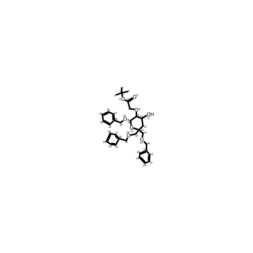 CC(C)(C)OC(=O)COC1C(O)CC(COCc2ccccc2)(COCc2ccccc2)O[C@@H]1OCc1ccccc1